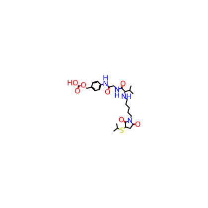 CC(C)SC1CC(=O)N(CCCCCNC(C(=O)NCC(=O)Nc2ccc(COC(=O)O)cc2)C(C)C)C1=O